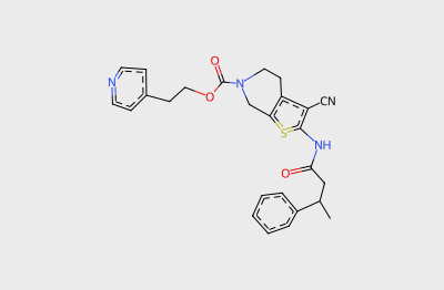 CC(CC(=O)Nc1sc2c(c1C#N)CCN(C(=O)OCCc1ccncc1)C2)c1ccccc1